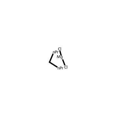 [CH2]CCCCCC.[Cl][Mg][Cl]